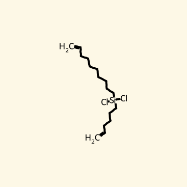 C=CCCCCCCCC[Si](Cl)(Cl)CCCCC=C